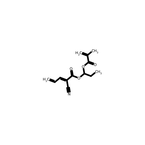 C=C/C=C(\C#N)C(=O)OC(CC)OC(=O)C(=C)C